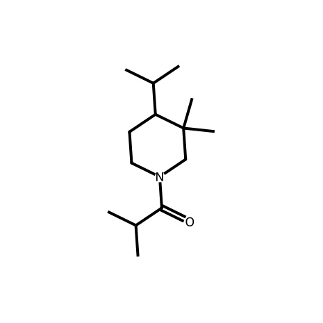 CC(C)C(=O)N1CCC(C(C)C)C(C)(C)C1